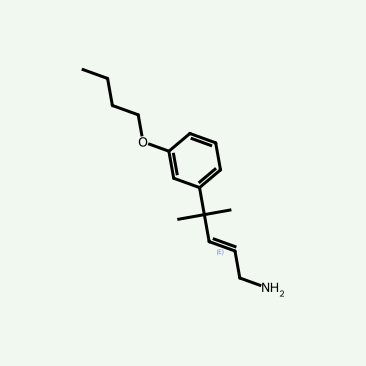 CCCCOc1cccc(C(C)(C)/C=C/CN)c1